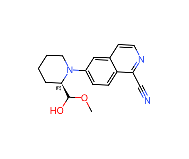 COC(O)[C@H]1CCCCN1c1ccc2c(C#N)nccc2c1